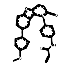 C=CC(=O)Nc1ccc(-n2c(=O)ccc3oc4ccc(-c5ccc(OC)cc5)cc4c32)cc1